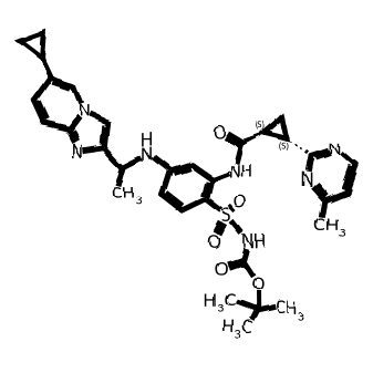 Cc1ccnc([C@H]2C[C@@H]2C(=O)Nc2cc(NC(C)c3cn4cc(C5CC5)ccc4n3)ccc2S(=O)(=O)NC(=O)OC(C)(C)C)n1